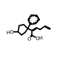 C=CCC=C(C(=O)O)C1(c2ccccc2)CCC(O)CC1